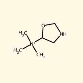 C[N+](C)(C)C1CNCO1